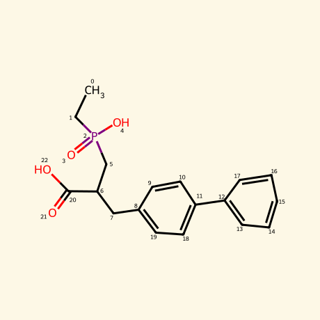 CCP(=O)(O)CC(Cc1ccc(-c2ccccc2)cc1)C(=O)O